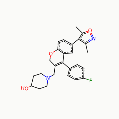 Cc1noc(C)c1-c1ccc2c(c1)C(c1ccc(F)cc1)=C(CN1CCC(O)CC1)CO2